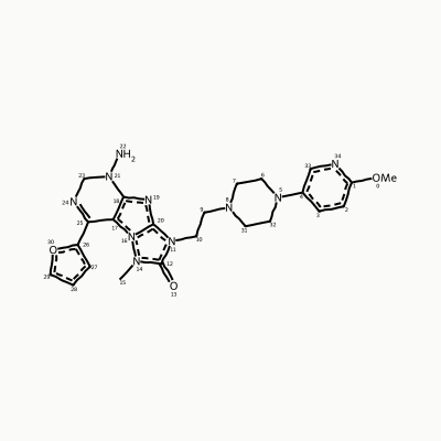 COc1ccc(N2CCN(CCn3c(=O)n(C)n4c5c(nc34)N(N)CN=C5c3ccco3)CC2)cn1